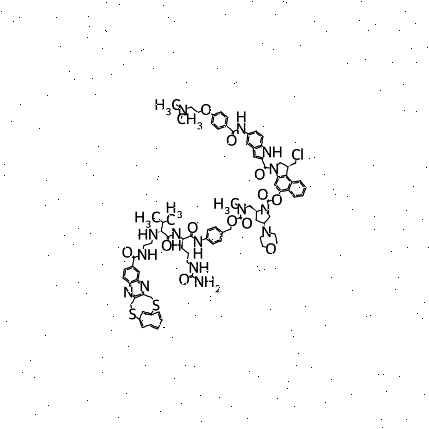 CC(C)[C@@H](NCCNC(=O)c1ccc2nc3c(nc2c1)CSC1=C\C(=C/C=C/C=C\1)SC3)C(=O)N[C@H](CCCNC(N)=O)C(=O)Nc1ccc(COC(=O)N(C)C[C@@H]2C[C@@H](N3CCOCC3)CN2C(=O)Oc2cc3c(c4ccccc24)[C@H](CCl)CN3C(=O)c2cc3cc(NC(=O)c4ccc(OCCN(C)C)cc4)ccc3[nH]2)cc1